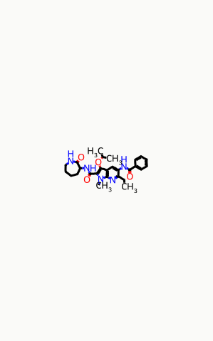 CCc1nc2c(cc1NC(=O)c1ccccc1)c(OC(C)C)c(C(=O)NC1CCCCNC1=O)n2C